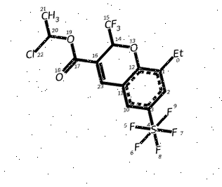 CCc1cc(S(F)(F)(F)(F)F)cc2c1OC(C(F)(F)F)C(C(=O)OC(C)Cl)=C2